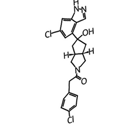 O=C(Cc1ccc(Cl)cc1)N1C[C@@H]2CC(O)(c3cc(Cl)cc4[nH]ncc34)C[C@@H]2C1